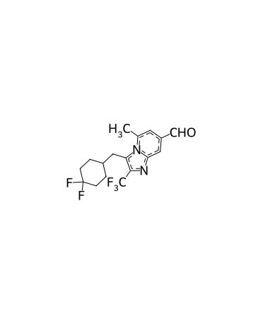 Cc1cc(C=O)cc2nc(C(F)(F)F)c(CC3CCC(F)(F)CC3)n12